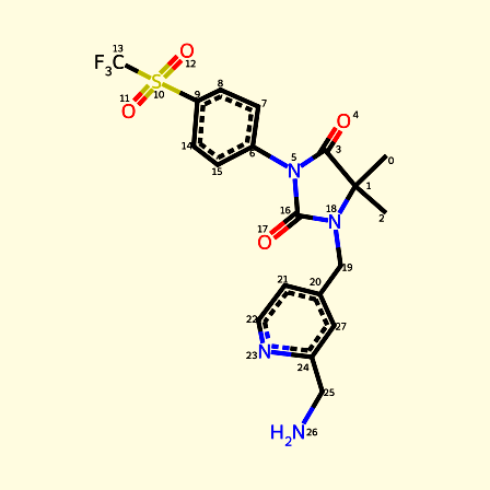 CC1(C)C(=O)N(c2ccc(S(=O)(=O)C(F)(F)F)cc2)C(=O)N1Cc1ccnc(CN)c1